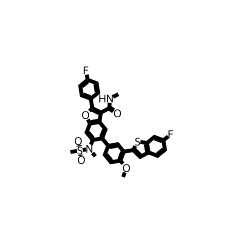 CNC(=O)c1c(-c2ccc(F)cc2)oc2cc(N(C)S(C)(=O)=O)c(-c3ccc(OC)c(-c4cc5ccc(F)cc5s4)c3)cc12